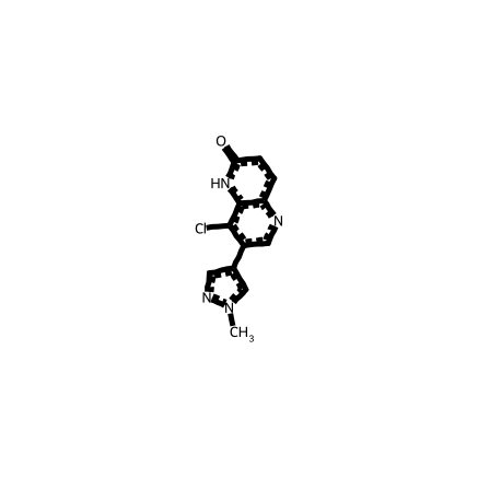 Cn1cc(-c2cnc3ccc(=O)[nH]c3c2Cl)cn1